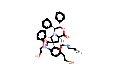 C=CCNC(=O)[C@H]1[C@@H]2C(=O)O[C@@H](c3ccccc3)[C@@H](c3ccccc3)N2[C@@H](c2ccccc2OCCO)[C@]12C(=O)Nc1ccc(CCO)cc12